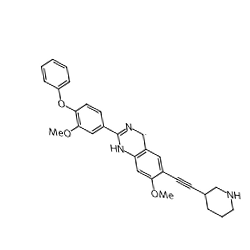 COc1cc2c(cc1C#CC1CCCNC1)[CH]N=C(c1ccc(Oc3ccccc3)c(OC)c1)N2